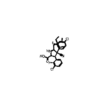 CCC(CC)(CC)CC1NC(C(=O)O)C(c2cccc(Cl)c2F)C1(C#N)c1ccc(Cl)cc1F